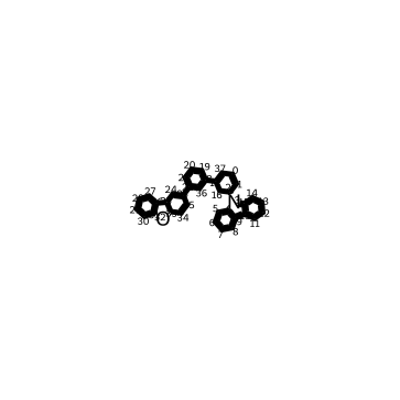 C1=CC(n2c3ccccc3c3ccccc32)CC(c2cccc(C3=CC4c5ccccc5OC4C=C3)c2)=C1